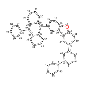 c1ccc(-c2cccc(-c3ccc4oc5ccc(-c6c7ccccc7c(-c7ccccc7)c7ccccc67)cc5c4c3)c2)cc1